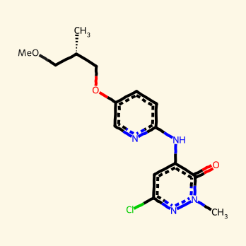 COC[C@H](C)COc1ccc(Nc2cc(Cl)nn(C)c2=O)nc1